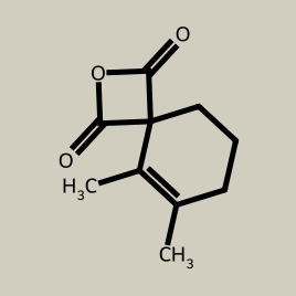 CC1=C(C)C2(CCC1)C(=O)OC2=O